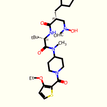 CCOc1ccsc1C(=O)N1CCC(N(C)C(=O)[C@@H](NC(=O)[C@H](CC2CCCC2)CN(O)C=O)C(C)(C)C)CC1